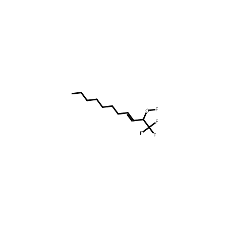 CCCCCCCC=CC(OF)C(F)(F)F